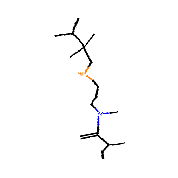 C=C(C(C)C)N(C)CCPCC(C)(C)C(C)C